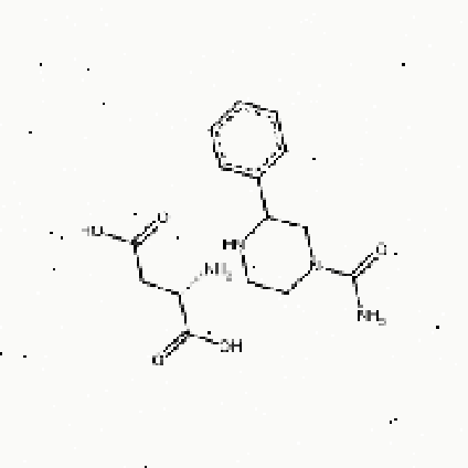 NC(=O)N1CCNC(c2ccccc2)C1.N[C@@H](CC(=O)O)C(=O)O